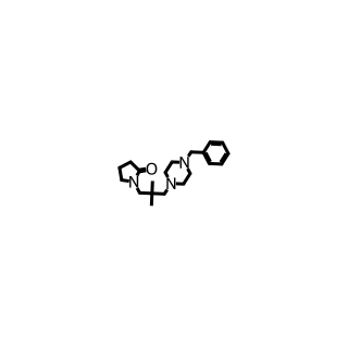 CC(C)(CN1CCN(Cc2ccccc2)CC1)CN1CCCC1=O